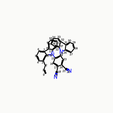 C=CCc1cccc2c3ccccc3n(-c3cc(C#N)c(C#N)cc3-n3c4ccccc4c4ccccc43)c12